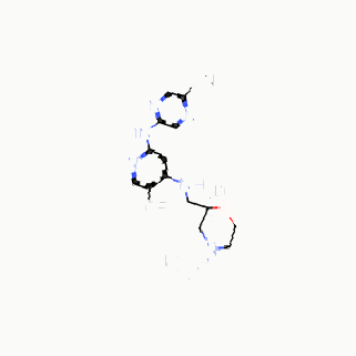 CC(C)(C)[C@@]1(CNc2cc(Nc3cnc(C#N)cn3)ncc2C(F)(F)F)CN(C(=O)O)CCO1